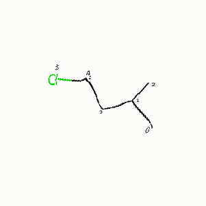 CC(C)C[C]Cl